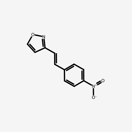 O=[N+]([O-])c1ccc(C=Cc2ccon2)cc1